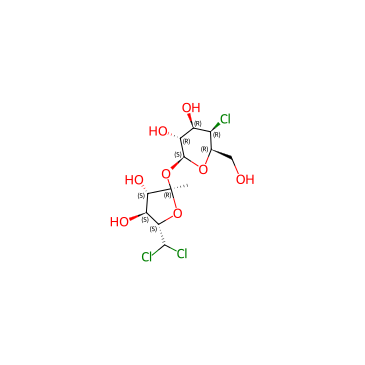 C[C@]1(O[C@@H]2O[C@H](CO)[C@H](Cl)[C@H](O)[C@H]2O)O[C@H](C(Cl)Cl)[C@@H](O)[C@@H]1O